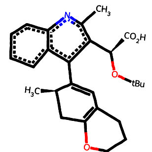 Cc1nc2ccccc2c(C2=CC3=C(C[C@H]2C)OCCC3)c1[C@H](OC(C)(C)C)C(=O)O